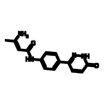 CC(N)=CC(=O)Nc1ccc(-c2ccc(=O)[nH]n2)cc1